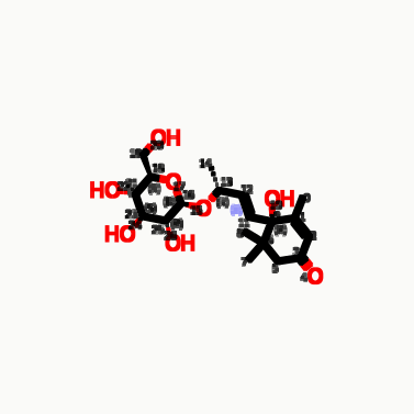 CC1=CC(=O)CC(C)(C)[C@]1(O)/C=C/[C@@H](C)O[C@@H]1O[C@H](CO)[C@@H](O)[C@H](O)[C@H]1O